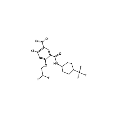 O=C(NC1CCC(C(F)(F)F)CC1)c1cc([N+](=O)[O-])c(Cl)nc1OCC(F)F